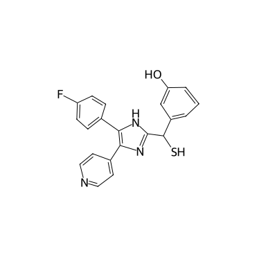 Oc1cccc(C(S)c2nc(-c3ccncc3)c(-c3ccc(F)cc3)[nH]2)c1